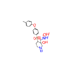 Cc1ccc(Oc2ccc(S(=O)(=O)C3CCNCC3(O)C(=O)NO)cc2)cc1